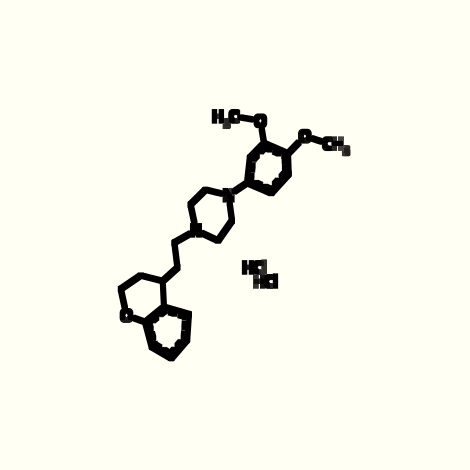 COc1ccc(N2CCN(CCC3CCOc4ccccc43)CC2)cc1OC.Cl.Cl